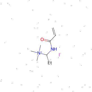 C=CC(=O)NC(CC)[N+](C)(C)C.[I-]